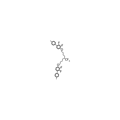 Cc1ccc(-c2ccc(OCCCCC(CCCCOc3ccc(-c4ccc(C)cc4)c(F)c3F)C(F)(F)F)c(F)c2F)cc1